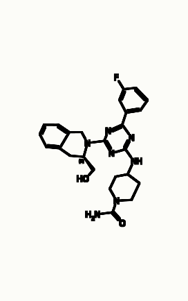 NC(=O)N1CCC(Nc2nc(-c3cccc(F)c3)nc(N3Cc4ccccc4C[C@@H]3CO)n2)CC1